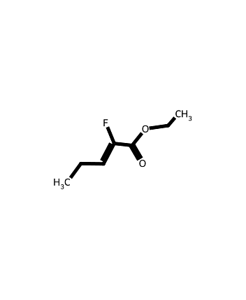 CCC=C(F)C(=O)OCC